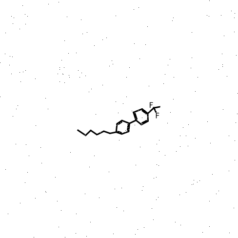 CCCCCCc1ccc(-c2ccc(C(C)(F)F)cc2)cc1